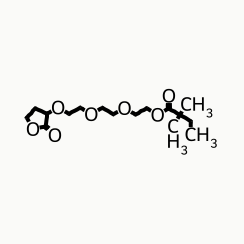 CCC(C)(C)C(=O)OCCOCCOCCOC1CCOC1=O